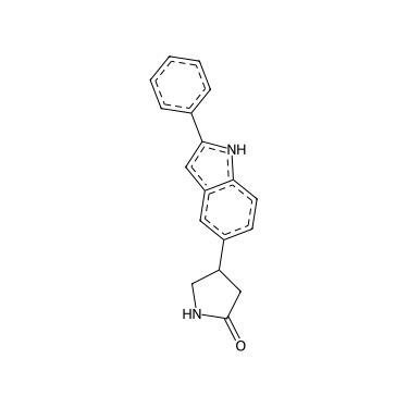 O=C1CC(c2ccc3[nH]c(-c4ccccc4)cc3c2)CN1